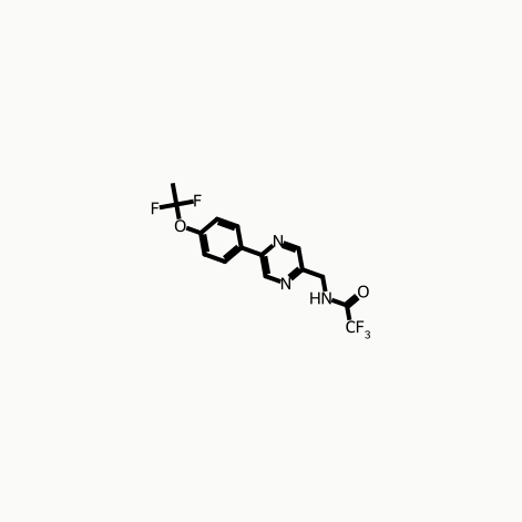 CC(F)(F)Oc1ccc(-c2cnc(CNC(=O)C(F)(F)F)cn2)cc1